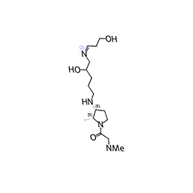 CNCC(=O)N1CC[C@@H](NCCCC(O)C/N=C\CCO)[C@H]1C